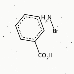 NBr.O=C(O)c1ccccc1